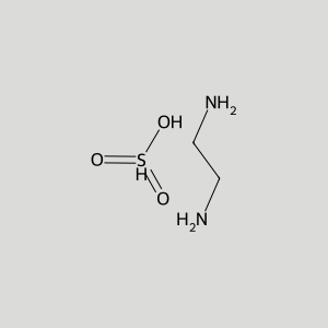 NCCN.O=[SH](=O)O